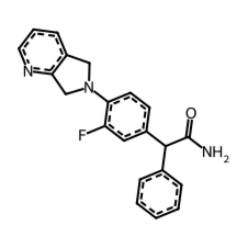 NC(=O)C(c1ccccc1)c1ccc(N2Cc3cccnc3C2)c(F)c1